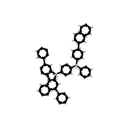 c1ccc(-c2ccc3c4c5ccccc5c(-c5ccccc5)cc4n(-c4ccc(N(c5ccccc5)c5ccc(-c6ccc7ccccc7c6)cc5)cc4)c3c2)cc1